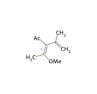 C=C(C)/C(C(C)=O)=C(/C)OC